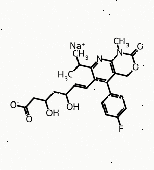 CC(C)c1nc2c(c(-c3ccc(F)cc3)c1/C=C/C(O)CC(O)CC(=O)[O-])COC(=O)N2C.[Na+]